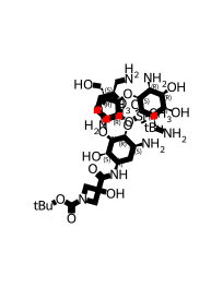 CC(C)(C)OC(=O)N1CC(O)(C(=O)N[C@@H]2C[C@H](N)[C@@H](O[C@H]3O[C@H](CN)CC[C@H]3N)[C@H](O[C@@H]3O[C@H](CO)[C@@H](O[C@H]4C[C@@H](CN)[C@@H](O)[C@H](O)[C@H]4N)[C@H]3O[Si](C)(C)C(C)(C)C)[C@H]2O)C1